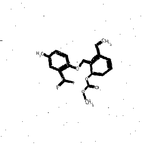 CCc1cccc(OC(=O)OC)c1COc1ccc(C)cc1C(F)F